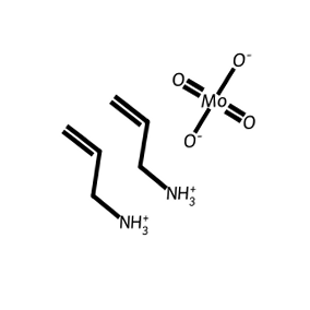 C=CC[NH3+].C=CC[NH3+].[O]=[Mo](=[O])([O-])[O-]